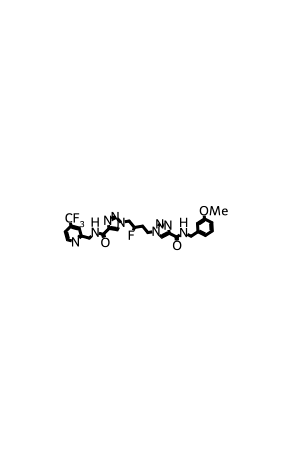 COc1cccc(CNC(=O)c2cn(CCC(F)Cn3cc(C(=O)NCc4cc(C(F)(F)F)ccn4)nn3)nn2)c1